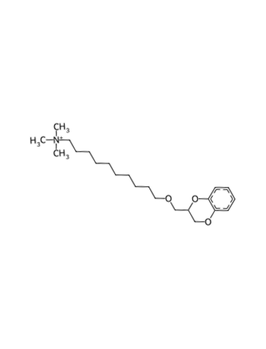 C[N+](C)(C)CCCCCCCCCCOCC1COc2ccccc2O1